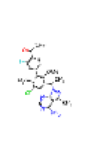 COC(=O)c1ccc(-c2c(C)c(Cl)cc(C(C)n3nc(C)c4c(N)ncnc43)c2OC)cc1F